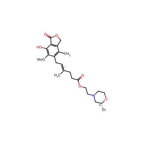 CC[C@@H]1CN(CCOC(=O)CC/C(C)=C/Cc2c(C)c3c(c(O)c2OC)C(=O)OC3)CCO1